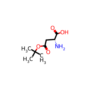 CC(C)(C)OC(=O)C[C@@H](N)C(=O)O